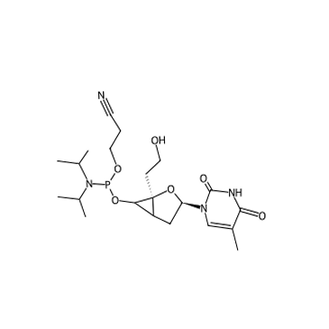 Cc1cn([C@H]2CC3C(OP(OCCC#N)N(C(C)C)C(C)C)[C@@]3(CCO)O2)c(=O)[nH]c1=O